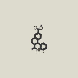 COC(=O)c1ccc2c(c1)CCC(C(C)N)C2c1ccccc1